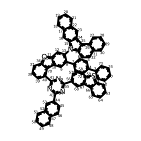 c1ccc(-c2ccc(-c3cc4c(cc3-n3c5cc6ccccc6cc5c5c6ccccc6ccc53)oc3cccc(-c5nc(-c6ccc7ccccc7c6)nc(-c6ccc7sc8ccccc8c7c6)n5)c34)cc2)cc1